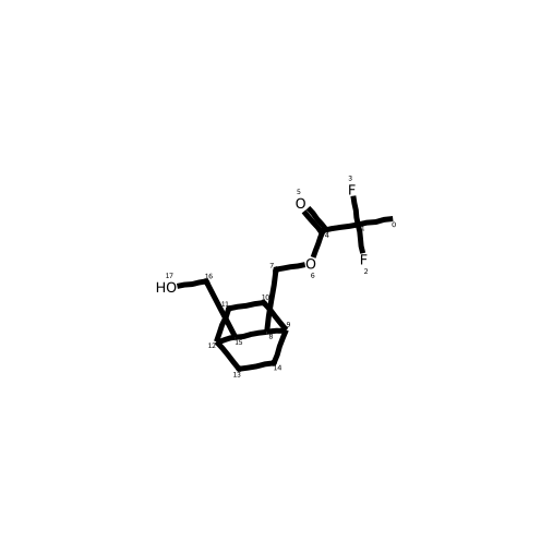 CC(F)(F)C(=O)OCC1C2CCC(CC2)C1CO